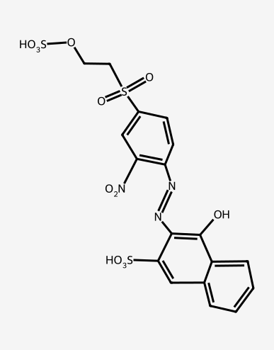 O=[N+]([O-])c1cc(S(=O)(=O)CCOS(=O)(=O)O)ccc1N=Nc1c(S(=O)(=O)O)cc2ccccc2c1O